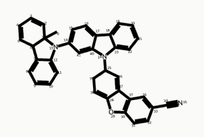 CC12C=CC=CC1c1ccccc1N2c1ccc2c3ccccc3n(C3C=c4c(oc5ccc(C#N)cc45)=CC3)c2c1